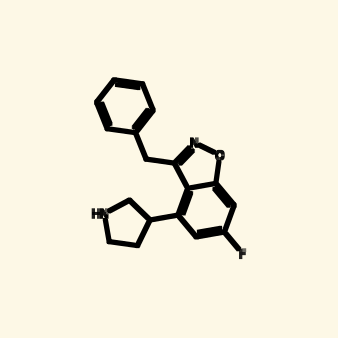 Fc1cc(C2CCNC2)c2c(Cc3ccccc3)noc2c1